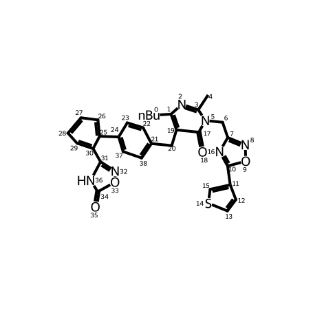 CCCCc1nc(C)n(Cc2noc(-c3ccsc3)n2)c(=O)c1Cc1ccc(-c2ccccc2-c2noc(=O)[nH]2)cc1